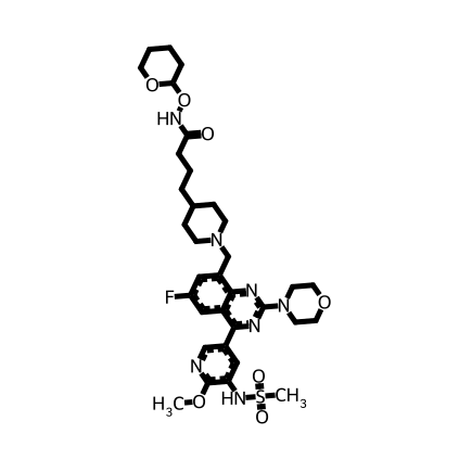 COc1ncc(-c2nc(N3CCOCC3)nc3c(CN4CCC(CCCC(=O)NOC5CCCCO5)CC4)cc(F)cc23)cc1NS(C)(=O)=O